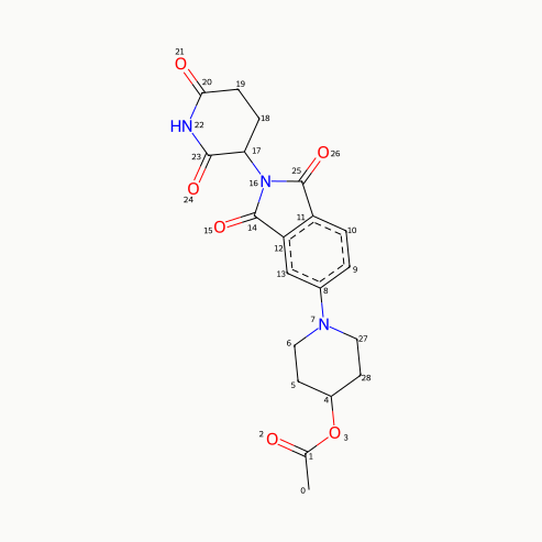 CC(=O)OC1CCN(c2ccc3c(c2)C(=O)N(C2CCC(=O)NC2=O)C3=O)CC1